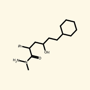 CC(C)C(CC(O)CCC1CCCCC1)C(=O)N(C)N